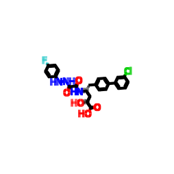 O=C(NNc1ccc(F)cc1)C(=O)N[C@H](Cc1ccc(-c2cccc(Cl)c2)cc1)C[C@@H](O)C(=O)O